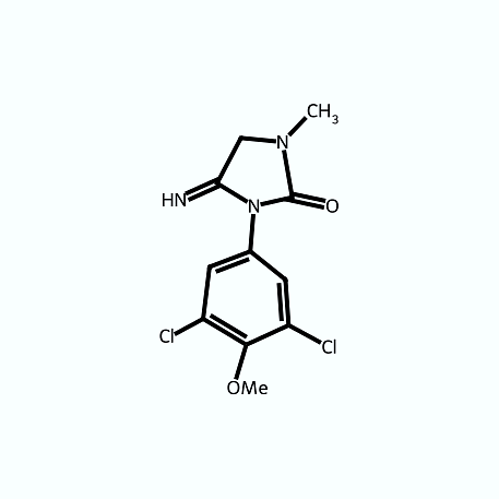 COc1c(Cl)cc(N2C(=N)CN(C)C2=O)cc1Cl